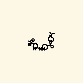 CC(C)N1CCN(C(=O)C2CCC(Nc3ccc(S(C)(=O)=O)cn3)CC2)CC1